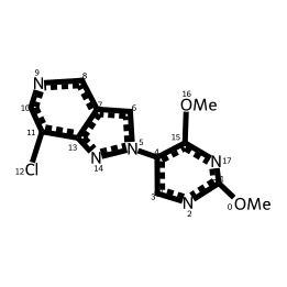 COc1ncc(-n2cc3cncc(Cl)c3n2)c(OC)n1